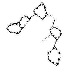 Fc1cc(Nc2cccc(-c3nc4ccccc4[nH]3)c2)ccc1-c1cccnn1